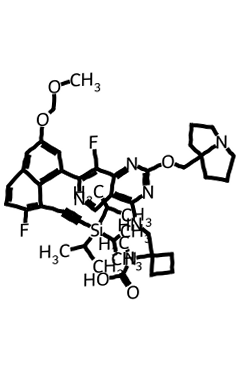 COCOc1cc(-c2ncc3c(NCC4(N(C)C(=O)O)CCC4)nc(OCC45CCCN4CCC5)nc3c2F)c2c(C#C[Si](C(C)C)(C(C)C)C(C)C)c(F)ccc2c1